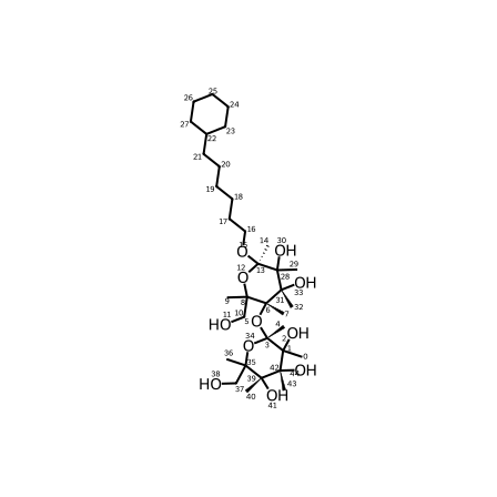 CC1(O)[C@@](C)(O[C@]2(C)C(C)(CO)O[C@@](C)(OCCCCCCC3CCCCC3)C(C)(O)[C@]2(C)O)OC(C)(CO)[C@@](C)(O)[C@@]1(C)O